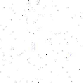 CCNC(=O)N(C)CC#N